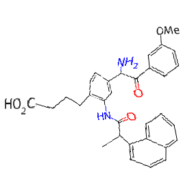 COc1cccc(C(=O)C(N)c2ccc(CCCC(=O)O)c(NC(=O)C(C)c3cccc4ccccc34)c2)c1